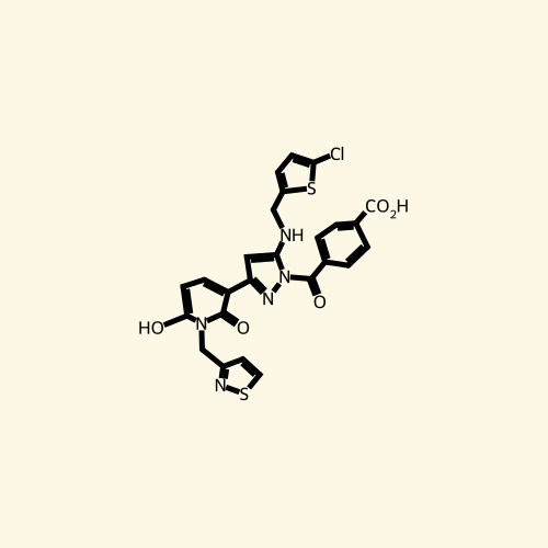 O=C(O)c1ccc(C(=O)n2nc(-c3ccc(O)n(Cc4ccsn4)c3=O)cc2NCc2ccc(Cl)s2)cc1